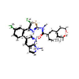 CN(C(=O)C(CC(=O)O)CC1CCOCC1)c1nc(-c2cc(Cl)ccc2-c2cnc3c(ccn3C)c2)c(F)s1